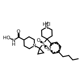 CCCCc1ccc(C2(S(=O)(=O)C3(N4CCC(C(=O)NO)CC4)CC3)CCNCC2)nc1.Cl